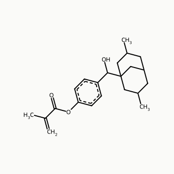 C=C(C)C(=O)Oc1ccc(C(O)C23CC(C)CC(CC(C)C2)C3)cc1